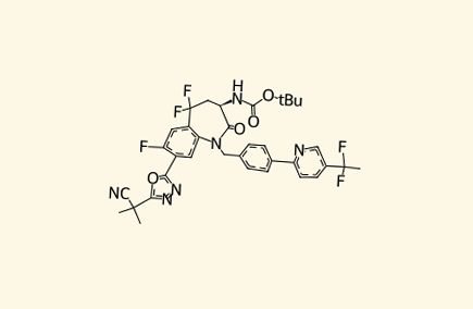 CC(C)(C)OC(=O)N[C@@H]1CC(F)(F)c2cc(F)c(-c3nnc(C(C)(C)C#N)o3)cc2N(Cc2ccc(-c3ccc(C(C)(F)F)cn3)cc2)C1=O